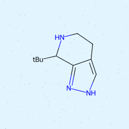 CC(C)(C)C1NCCc2c[nH]nc21